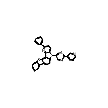 c1ccc(-c2ccc3c(n2)c2c4sc5ccccc5c4ccc2n3-c2cnc(-c3cccnc3)nc2)cc1